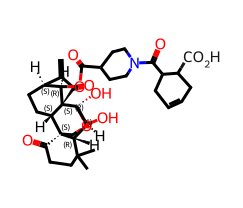 C=C1C(=O)[C@]23[C@H](OC(=O)C4CCN(C(=O)C5CC=CCC5C(=O)O)CC4)[C@H]1CC[C@H]2[C@@]12CO[C@@]3(O)[C@@H](O)[C@@H]1C(C)(C)CCC2=O